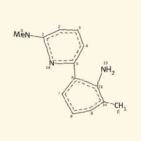 CNc1cccc(-c2cccc(C)c2N)n1